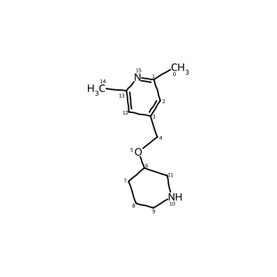 Cc1cc(COC2CCCNC2)cc(C)n1